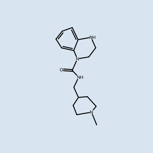 CN1CCC(CNC(=O)N2CCNc3ccccc32)CC1